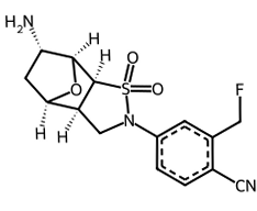 N#Cc1ccc(N2C[C@@H]3[C@@H]([C@H]4O[C@@H]3C[C@@H]4N)S2(=O)=O)cc1CF